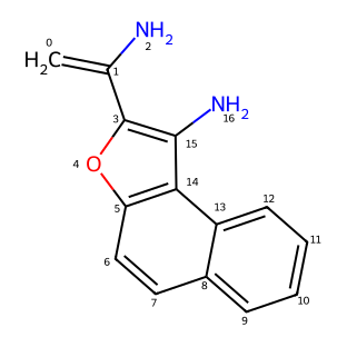 C=C(N)c1oc2ccc3ccccc3c2c1N